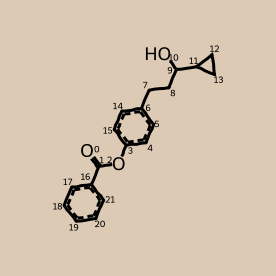 O=C(Oc1ccc(CCC(O)C2CC2)cc1)c1ccccc1